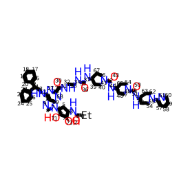 CCC(=O)N[C@H]1C[C@@H](n2cnc3c(NCC(c4ccccc4)c4ccccc4)nc(C(=O)NCCNC(=O)NC4CCN(C(=O)NC5CCN(C(=O)NC6CCN(c7ccccn7)CC6)CC5)CC4)nc32)[C@H](O)[C@@H]1O